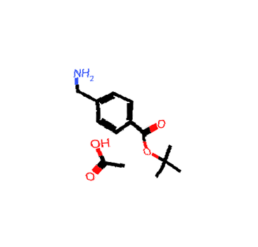 CC(=O)O.CC(C)(C)OC(=O)c1ccc(CN)cc1